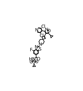 O=C(NS(=O)(=O)C1CC1)c1cc(F)c2nc(N3CCC4(C=C(c5c(-c6c(Cl)cncc6Cl)noc5C5CC5)C4)CC3)sc2c1